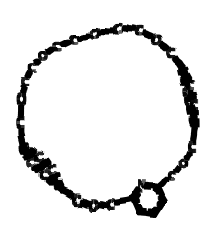 c1cc2nc(c1)COCc1ccc(cc1)COCCOCCOCCOCc1ccc(cc1)COC2